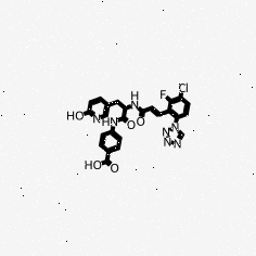 O=C(C=Cc1c(-n2cnnn2)ccc(Cl)c1F)NC(Cc1ccc(O)nc1)C(=O)Nc1ccc(C(=O)O)cc1